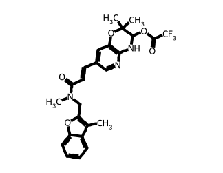 Cc1c(CN(C)C(=O)/C=C/c2cnc3c(c2)OC(C)(C)C(OC(=O)C(F)(F)F)N3)oc2ccccc12